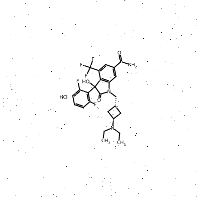 CCN(CC)[C@H]1C[C@H](CN2C(=O)C(O)(c3c(F)cccc3F)c3c2cc(C(N)=O)cc3C(F)(F)F)C1.Cl